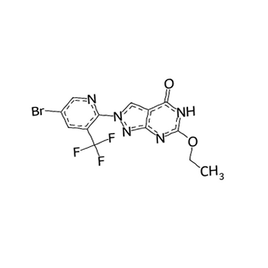 CCOc1nc2nn(-c3ncc(Br)cc3C(F)(F)F)cc2c(=O)[nH]1